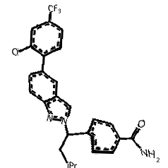 CC(C)CC(c1ccc(C(N)=O)cc1)n1cc2cc(-c3ccc(C(F)(F)F)cc3Cl)ccc2n1